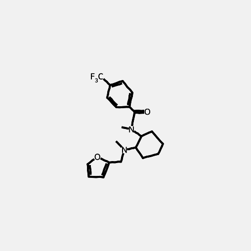 CN(Cc1ccco1)C1CCCCC1N(C)C(=O)c1ccc(C(F)(F)F)cc1